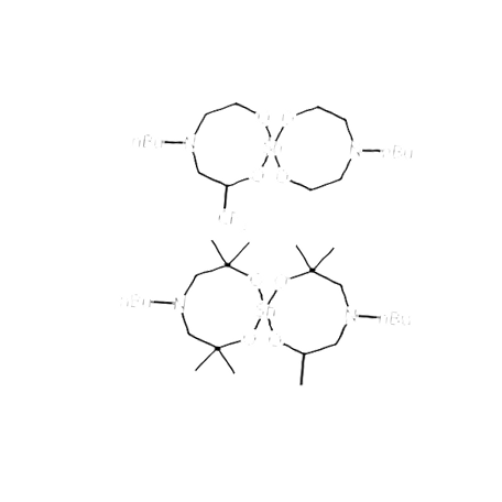 CCCCN1CC(C)[O][Sn]2([O]C(C)(C)C1)[O]C(C)(C)CN(CCCC)CC(C)(C)[O]2.CCCCN1CC[O][Sn]2([O]CC1)[O]CCN(CCCC)CC(C(F)(F)F)[O]2